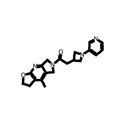 Cc1c2c(nc3c1CCO3)CN(C(=O)CC1CN(c3cccnc3)C1)C2